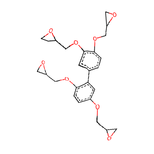 c1cc(OCC2CO2)c(-c2ccc(OCC3CO3)c(OCC3CO3)c2)cc1OCC1CO1